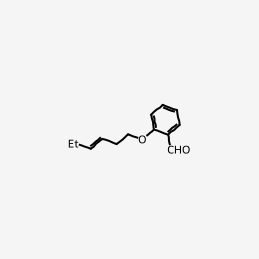 CCC=CCCOc1ccccc1C=O